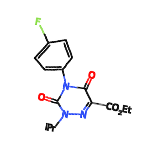 CCOC(=O)c1nn(C(C)C)c(=O)n(-c2ccc(F)cc2)c1=O